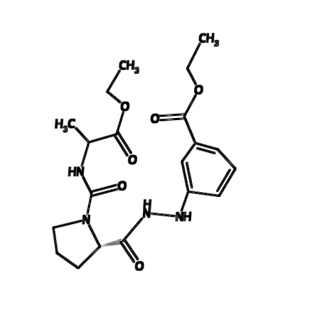 CCOC(=O)c1cccc(NNC(=O)[C@@H]2CCCN2C(=O)NC(C)C(=O)OCC)c1